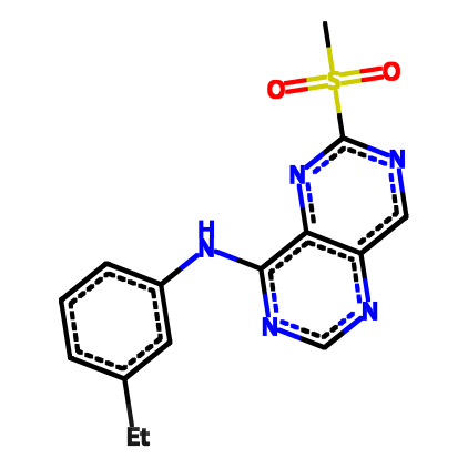 CCc1cccc(Nc2ncnc3cnc(S(C)(=O)=O)nc23)c1